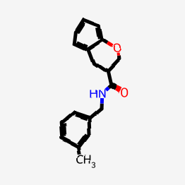 Cc1cccc(CNC(=O)C2COc3ccccc3C2)c1